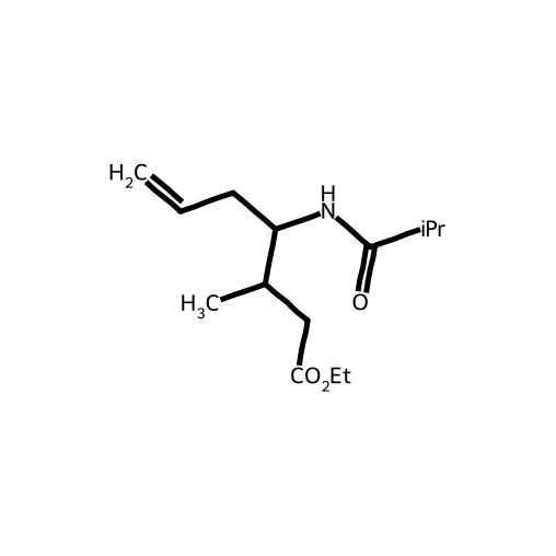 C=CCC(NC(=O)C(C)C)C(C)CC(=O)OCC